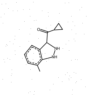 Cc1cccc2c1NNC2C(=O)C1CC1